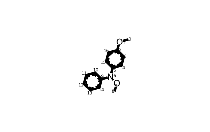 COc1ccc(N(OC)c2ccccc2)cc1